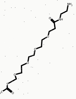 CC(=O)SCOCCOCCOCCOCCC(=O)NCCN